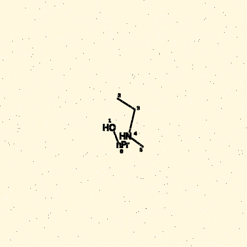 CCCO.CCNC